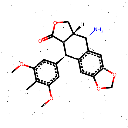 COc1cc([C@@H]2c3cc4c(cc3[C@@H](N)[C@H]3COC(=O)C23)OCO4)cc(OC)c1C